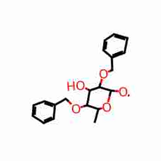 COC1OC(C)C(OCc2ccccc2)C(O)C1OCc1ccccc1